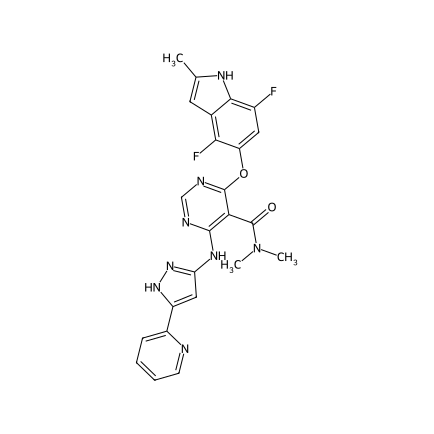 Cc1cc2c(F)c(Oc3ncnc(Nc4cc(-c5ccccn5)[nH]n4)c3C(=O)N(C)C)cc(F)c2[nH]1